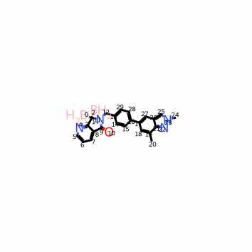 BC1(B)c2ncccc2C(=O)N1Cc1ccc(-c2cc(C)c3nn(C)cc3c2)cc1